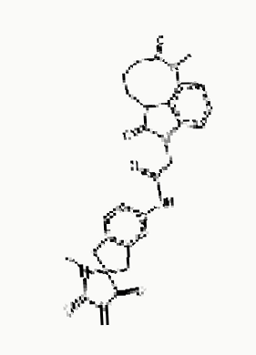 CN1C(=O)CCCC2C(=O)N(CC(=O)Nc3ccc4c(c3)CC3(C4)C(=O)NC(=O)N3C)c3cccc1c32